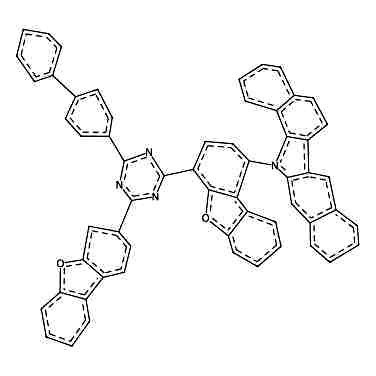 c1ccc(-c2ccc(-c3nc(-c4ccc5c(c4)oc4ccccc45)nc(-c4ccc(-n5c6cc7ccccc7cc6c6ccc7ccccc7c65)c5c4oc4ccccc45)n3)cc2)cc1